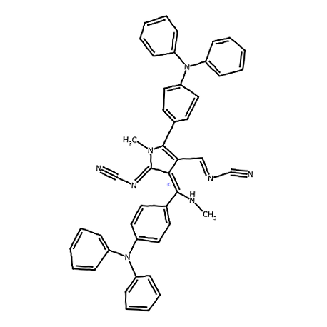 CN/C(=C1/C(=NC#N)N(C)C(c2ccc(N(c3ccccc3)c3ccccc3)cc2)=C1C=NC#N)c1ccc(N(c2ccccc2)c2ccccc2)cc1